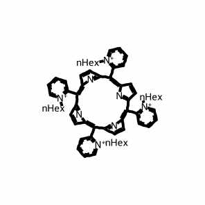 CCCCCC[n+]1ccccc1C1=C2C=CC(=N2)C(c2cccc[n+]2CCCCCC)=C2C=CC(=N2)C(c2cccc[n+]2CCCCCC)=C2C=CC(=N2)C(c2cccc[n+]2CCCCCC)=C2C=CC1=N2